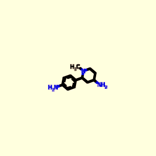 CN1CCC(N)CC1c1ccc(N)cc1